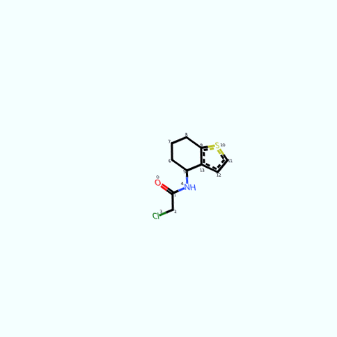 O=C(CCl)NC1CCCc2sccc21